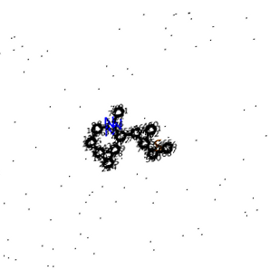 c1ccc(-c2nc(-c3cccc(-c4cccc(-c5ccc6c7ccccc7c7ccccc7c6c5)c4)c3)nc(-c3cccc(-c4ccc5c6ccccc6c6cc(-c7cccc8c7sc7ccccc78)ccc6c5c4)c3)n2)cc1